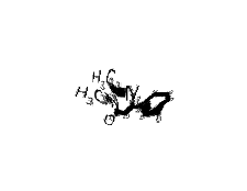 Cc1nc(-c2ccccc2)cc(=O)n1C